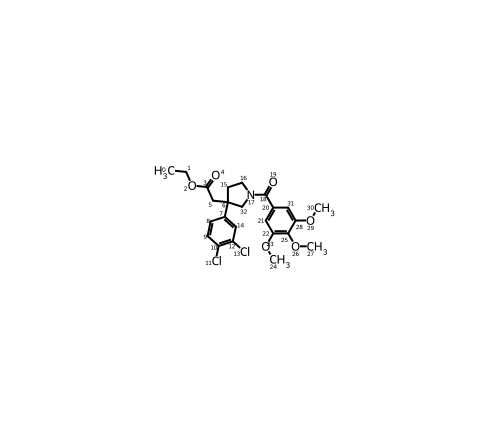 CCOC(=O)CC1(c2ccc(Cl)c(Cl)c2)CCN(C(=O)c2cc(OC)c(OC)c(OC)c2)C1